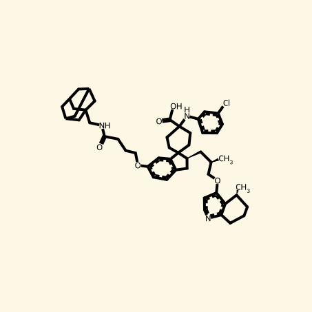 C[C@@H](COc1ccnc2c1[C@H](C)CCC2)C[C@H]1Cc2ccc(OCCCC(=O)NCC34CC5CC(CC(C5)C3)C4)cc2C12CCC(Nc1cccc(Cl)c1)(C(=O)O)CC2